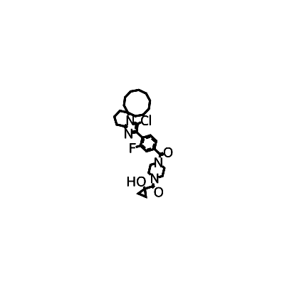 O=C(c1ccc(-c2nc3n(c2Cl)C2(CCCCCCCCC2)CCC3)c(F)c1)N1CCN(C(=O)C2(O)CC2)CC1